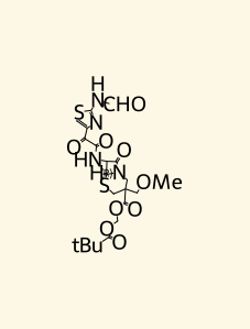 COCC1(C(=O)OCOC(=O)C(C)(C)C)CS[C@@H]2C(NC(=O)C(=O)c3csc(NC=O)n3)C(=O)N2C1